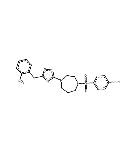 N#Cc1ccc(S(=O)(=O)N2CCCN(c3nc(Cc4ccccc4[N+](=O)[O-])ns3)CC2)cc1